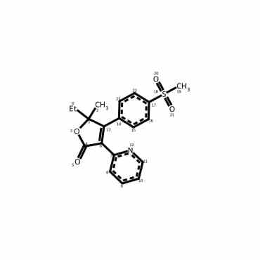 CCC1(C)OC(=O)C(c2ccccn2)=C1c1ccc(S(C)(=O)=O)cc1